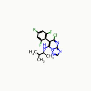 CC(C)[C@H](C)Nc1c(-c2c(F)cc(F)cc2F)c(Cl)nc2ncnn12